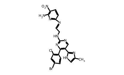 Cc1c[nH]c(-c2cnc(NCC=Nc3ccc([N+](=O)[O-])c(N)n3)nc2-c2ccc(Br)cc2Cl)n1